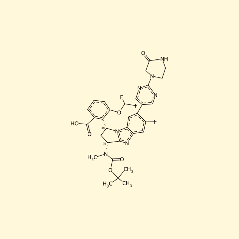 CN(C(=O)OC(C)(C)C)[C@@H]1C[C@H](c2c(OC(F)F)cccc2C(=O)O)n2c1nc1cc(F)c(-c3cnc(N4CCNC(=O)C4)nc3)cc12